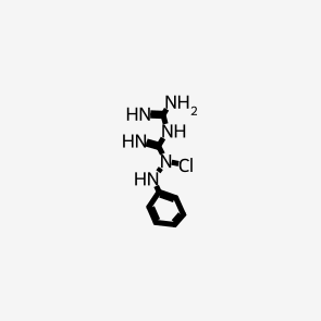 N=C(N)NC(=N)N(Cl)Nc1ccccc1